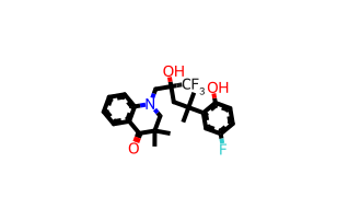 CC1(C)CN(CC(O)(CC(C)(C)c2cc(F)ccc2O)C(F)(F)F)c2ccccc2C1=O